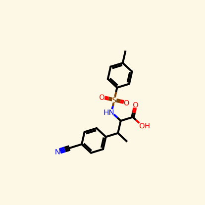 Cc1ccc(S(=O)(=O)NC(C(=O)O)C(C)c2ccc(C#N)cc2)cc1